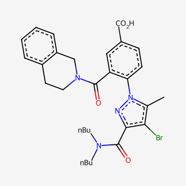 CCCCN(CCCC)C(=O)c1nn(-c2ccc(C(=O)O)cc2C(=O)N2CCc3ccccc3C2)c(C)c1Br